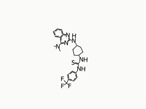 CN(C)c1nc(NC2CCC(NC(=S)Nc3ccc(C(F)(F)F)cc3)CC2)nc2ccccc12